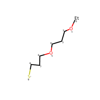 CCOCCCOCCC[S]